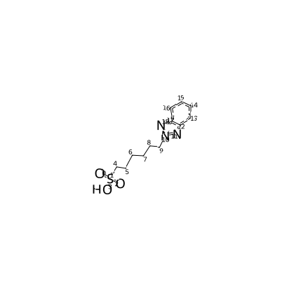 O=S(=O)(O)CCCCCCn1nc2ccccc2n1